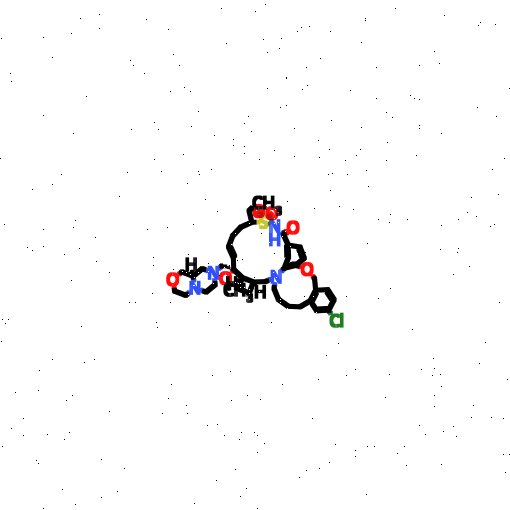 CCC1CC/C=C/[C@](CN2CCN3CCOC[C@@H]3C2)(OC)[C@@H]2CC[C@H]2CN2CCCCc3cc(Cl)ccc3COc3ccc(cc32)C(=O)NS1(=O)=O